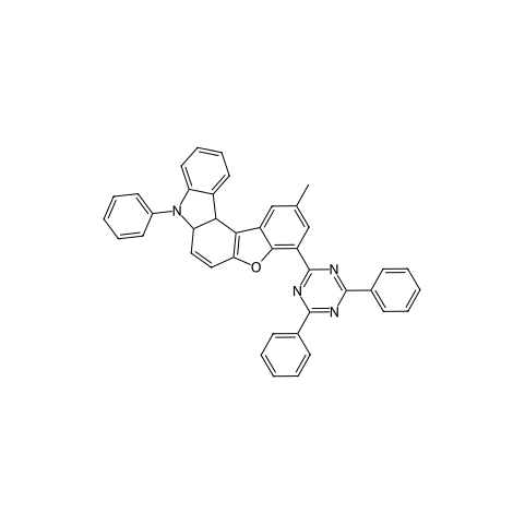 Cc1cc(-c2nc(-c3ccccc3)nc(-c3ccccc3)n2)c2oc3c(c2c1)C1c2ccccc2N(c2ccccc2)C1C=C3